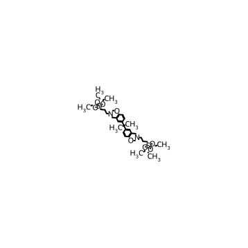 CCO[Si](CCCN1COc2ccc(C(C)(C)c3ccc4c(c3)CN(CCC[Si](OCC)(OCC)OCC)CO4)cc2C1)(OCC)OCC